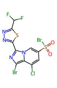 O=S(=O)(Br)c1cc(Cl)c2c(Br)nc(-c3nnc(C(F)F)s3)n2c1